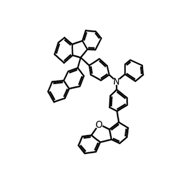 c1ccc(N(c2ccc(-c3cccc4c3oc3ccccc34)cc2)c2ccc(C3(c4ccc5ccccc5c4)c4ccccc4-c4ccccc43)cc2)cc1